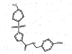 COc1ccc(CNC(=O)c2ccn(S(=O)(=O)c3ccc(C)cc3)c2)nc1